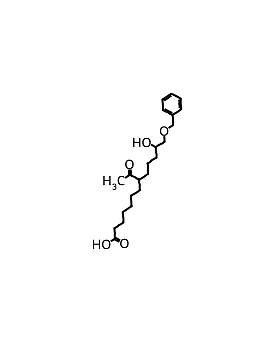 CC(=O)C(CCCCCCC(=O)O)CCCC(O)COCc1ccccc1